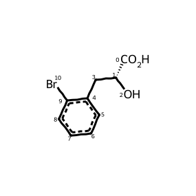 O=C(O)[C@H](O)Cc1ccccc1Br